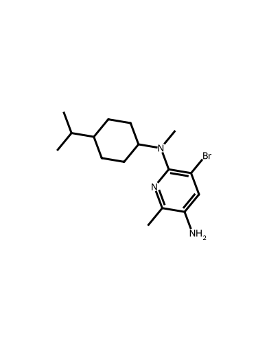 Cc1nc(N(C)C2CCC(C(C)C)CC2)c(Br)cc1N